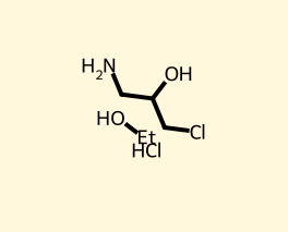 CCO.Cl.NCC(O)CCl